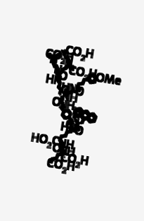 COc1ccc(CCCC(=O)NCC(=O)N[C@@H](CCCCNC(=O)CN2CCN(CC(=O)O)CCN(CC(=O)O)CCN(CC(=O)O)CC2)C(=O)NCC2CCC(C(=O)N[C@@H](Cc3c4ccccc4cc4ccccc34)C(=O)NCCCC[C@H](NC(=O)N[C@@H](CCCC(=O)O)C(=O)O)C(=O)O)CC2)cc1